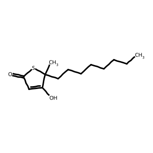 CCCCCCCCC1(C)SC(=O)C=C1O